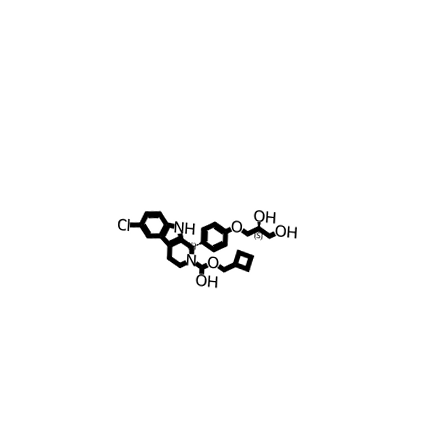 OC[C@H](O)COc1ccc([C@H]2c3[nH]c4ccc(Cl)cc4c3CCN2C(O)OCC2CCC2)cc1